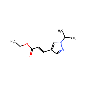 CCOC(=O)/C=C/c1cnn(C(C)C)c1